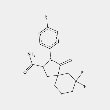 NC(=O)C1CC2(C[CH]CC(F)(F)C2)C(=O)N1c1ccc(F)cc1